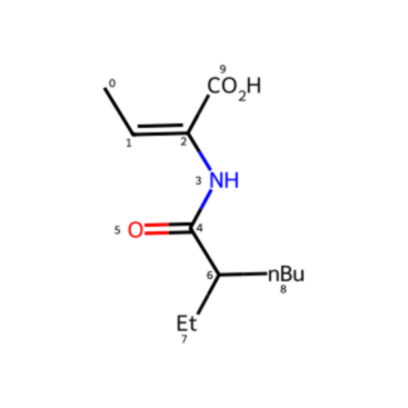 CC=C(NC(=O)C(CC)CCCC)C(=O)O